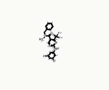 CN(Cc1ccccc1)C(=O)c1cnc(Nc2cc(Cl)cc(Cl)c2)nc1C(F)(F)F